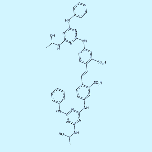 CC(O)Nc1nc(Nc2ccccc2)nc(Nc2ccc(C=Cc3ccc(Nc4nc(Nc5ccccc5)nc(NC(C)O)n4)cc3S(=O)(=O)O)c(S(=O)(=O)O)c2)n1